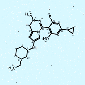 CCN1CCC[C@@H](Nc2cc3n(c2)C(c2c(O)cc(C4CC4)cc2F)=NN(C)C3)C1